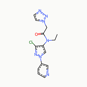 CCN(C(=O)Cn1ccnn1)c1cn(-c2cccnc2)nc1Cl